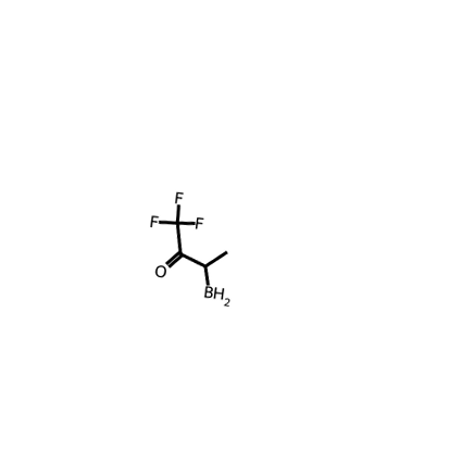 BC(C)C(=O)C(F)(F)F